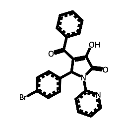 O=C(C1=C(O)C(=O)N(c2ccccn2)C1c1ccc(Br)cc1)c1ccccc1